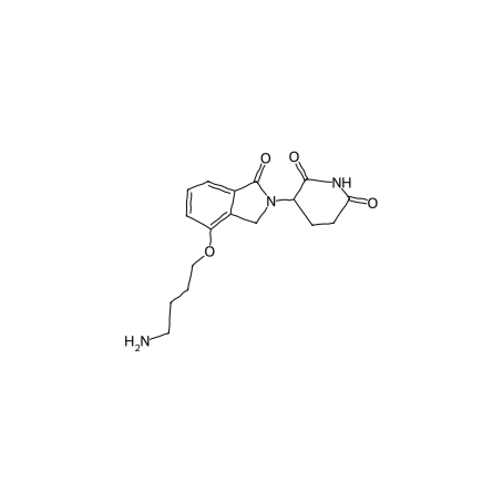 NCCCCOc1cccc2c1CN(C1CCC(=O)NC1=O)C2=O